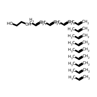 C=CC.C=CC.C=CC.C=CC.C=CC.C=CC.C=CC.C=CC.C=CC.C=CC.C=CC.C=CC.OCCO